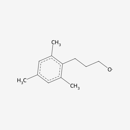 Cc1cc(C)c(CCC[O])c(C)c1